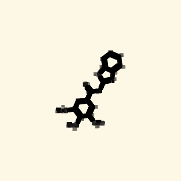 COc1cc(C(=O)Sc2nc3ccccc3s2)cc(OC)c1OC